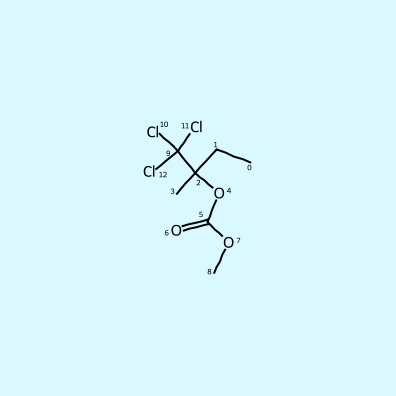 CCC(C)(OC(=O)OC)C(Cl)(Cl)Cl